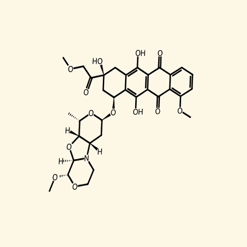 COCC(=O)[C@]1(O)Cc2c(O)c3c(c(O)c2[C@@H](O[C@H]2C[C@H]4[C@H](O[C@@H]5[C@@H](OC)OCCN54)[C@H](C)O2)C1)C(=O)c1c(OC)cccc1C3=O